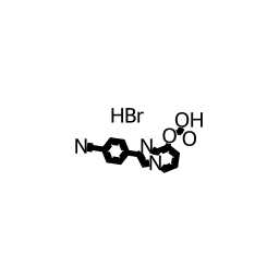 Br.N#Cc1ccc(-c2cn3cccc(OC(=O)O)c3n2)cc1